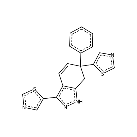 C1=CC(c2ccccc2)(c2cncs2)Cc2[nH]nc(-c3cncs3)c21